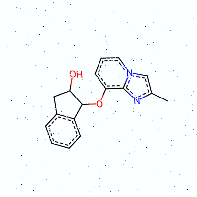 Cc1cn2cccc(OC3c4ccccc4CC3O)c2n1